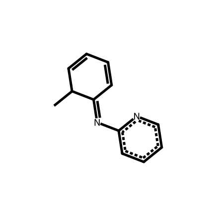 CC1C=CC=CC1=Nc1ccccn1